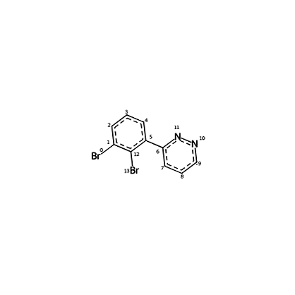 Brc1cccc(-c2cc[c]nn2)c1Br